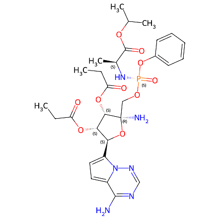 CCC(=O)O[C@H]1[C@H](c2ccc3c(N)ncnn23)O[C@](N)(CO[P@@](=O)(N[C@@H](C)C(=O)OC(C)C)Oc2ccccc2)[C@H]1OC(=O)CC